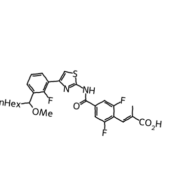 CCCCCCC(OC)c1cccc(-c2csc(NC(=O)c3cc(F)c(C=C(C)C(=O)O)c(F)c3)n2)c1F